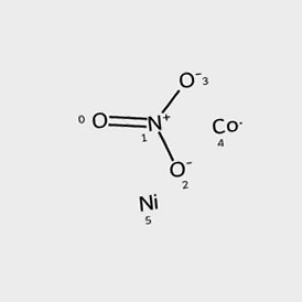 O=[N+]([O-])[O-].[Co].[Ni]